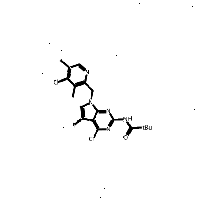 Cc1cnc(Cn2cc(I)c3c(Cl)nc(NC(=O)C(C)(C)C)nc32)c(C)c1Cl